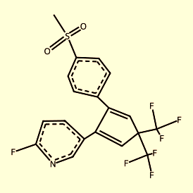 CS(=O)(=O)c1ccc(C2=CC(C(F)(F)F)(C(F)(F)F)C=C2c2ccc(F)nc2)cc1